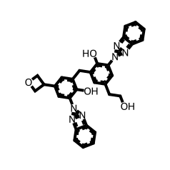 OCCc1cc(Cc2cc(C3COC3)cc(-n3n4c5ccccc5n34)c2O)c(O)c(-n2n3c4ccccc4n23)c1